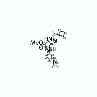 COC(=O)c1cc(NC(=O)C2CC2c2ccccc2)cc2[nH]c(-c3cccc(CN4CCCC4)c3)cc12